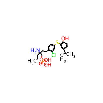 CCC[C@](N)(CCc1ccc(Sc2cc(C(C)C)ccc2O)cc1Cl)COP(=O)(O)O